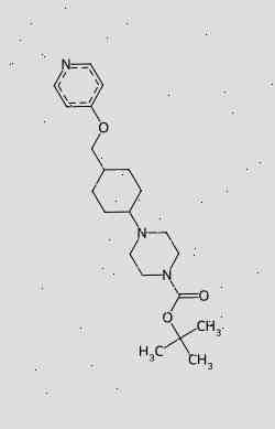 CC(C)(C)OC(=O)N1CCN(C2CCC(COc3ccncc3)CC2)CC1